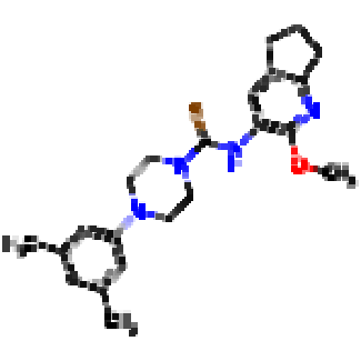 COc1nc2c(cc1NC(=S)N1CCN(c3cc(C)cc(C)c3)CC1)CCC2